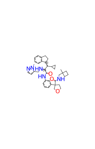 Cn1nccc1CN[C@H](C(=O)Nc1cccc(C2(C(=O)NCC3(C)CCC3)CCOC2)c1)C(C1CC1)[C@@H]1CCc2ccccc21